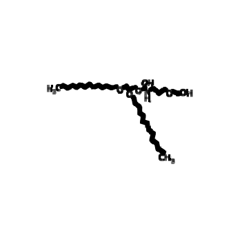 CCCCCCCCCCCCCCOCC(COC(O)NCCCOCCO)OCCCCCCCCCCCCCC